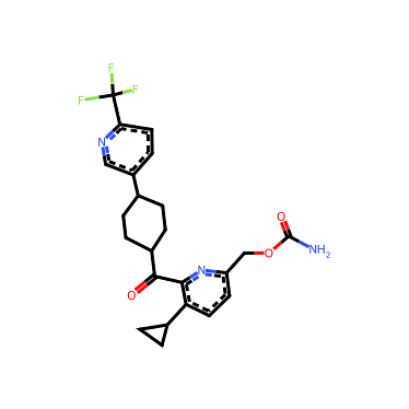 NC(=O)OCc1ccc(C2CC2)c(C(=O)C2CCC(c3ccc(C(F)(F)F)nc3)CC2)n1